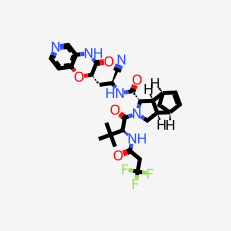 CC(C)(C)[C@H](NC(=O)CC(F)(F)F)C(=O)N1C[C@H]2[C@@H]([C@H]1C(=O)N[C@H](C#N)C[C@@H]1Oc3ccncc3NC1=O)[C@H]1C=C[C@@H]2C1